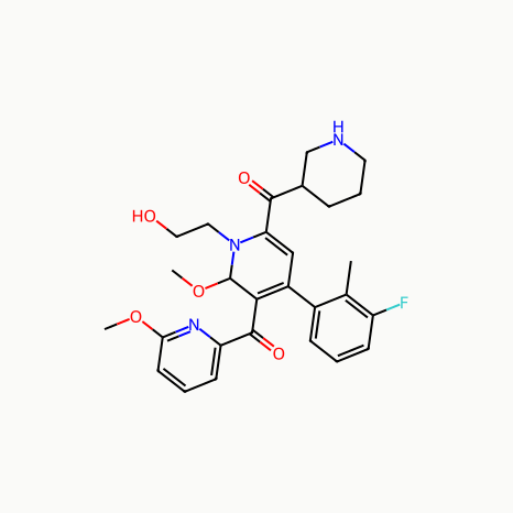 COc1cccc(C(=O)C2=C(c3cccc(F)c3C)C=C(C(=O)C3CCCNC3)N(CCO)C2OC)n1